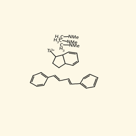 C(C=Cc1ccccc1)=Cc1ccccc1.C[N-]C.C[N-]C.C[N-]C.[Ti+3][CH]1CCC2C=CC=CC12